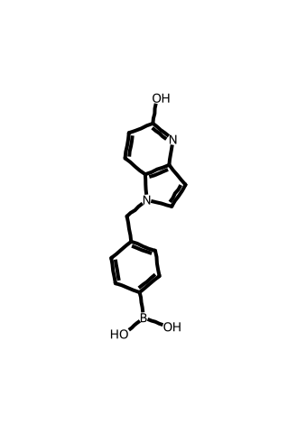 OB(O)c1ccc(Cn2ccc3nc(O)ccc32)cc1